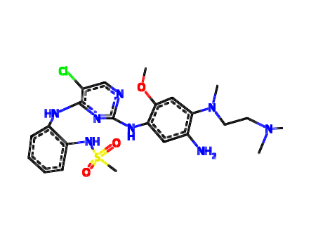 COc1cc(N(C)CCN(C)C)c(N)cc1Nc1ncc(Cl)c(Nc2ccccc2NS(C)(=O)=O)n1